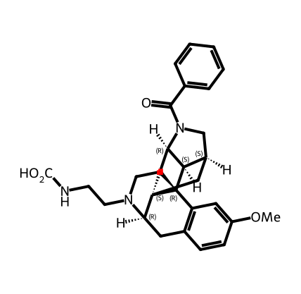 COc1ccc2c(c1)[C@]13CCN(CCNC(=O)O)[C@H](C2)[C@]12CC[C@@H]1[C@H]3[C@@H](CN1C(=O)c1ccccc1)C2